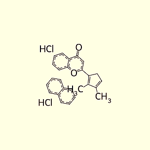 CC1=CCC(c2cc(=O)c3ccccc3o2)=C1C.Cl.Cl.c1ccc2ccccc2c1